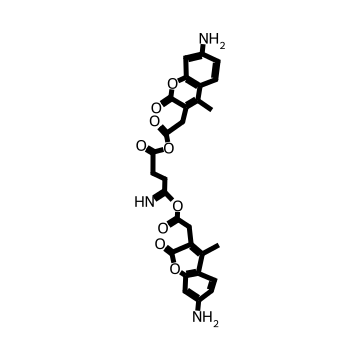 Cc1c(CC(=O)OC(=N)CCC(=O)OC(=O)Cc2c(C)c3ccc(N)cc3oc2=O)c(=O)oc2cc(N)ccc12